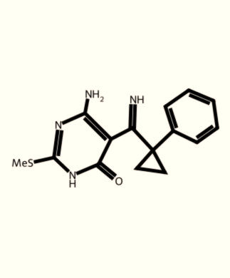 CSc1nc(N)c(C(=N)C2(c3ccccc3)CC2)c(=O)[nH]1